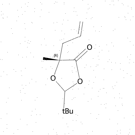 C=CC[C@@]1(C)OC(C(C)(C)C)OC1=O